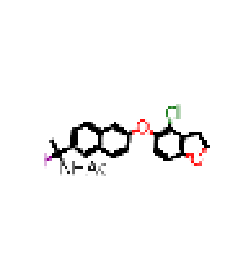 CC(=O)NC(C)(I)c1ccc2cc(Oc3ccc4c(c3Cl)CCO4)ccc2c1